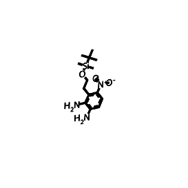 CC(C)(C)[Si](C)(C)OCCc1c([N+](=O)[O-])ccc(N)c1N